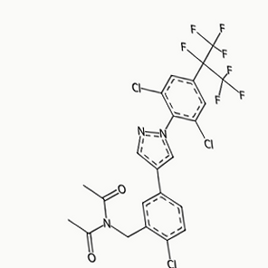 CC(=O)N(Cc1cc(-c2cnn(-c3c(Cl)cc(C(F)(C(F)(F)F)C(F)(F)F)cc3Cl)c2)ccc1Cl)C(C)=O